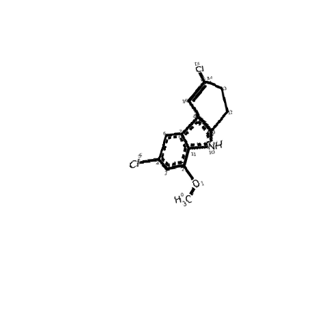 COc1cc(Cl)cc2c3c([nH]c12)CCC(Cl)=C3